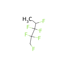 CC(F)C(F)(F)C(F)(F)CF